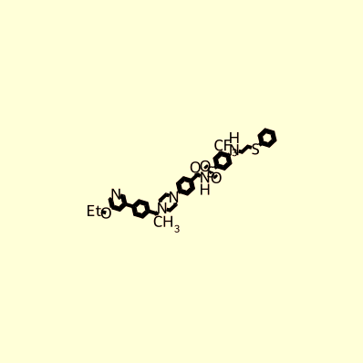 CCOc1cncc(-c2ccc(C(C)N3CCN(c4ccc(C(=O)NS(=O)(=O)c5ccc(NCCSc6ccccc6)c(C(F)(F)F)c5)cc4)CC3)cc2)c1